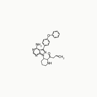 C=CCC(=O)C1NCCCC1n1nc(-c2ccc(Oc3ccccc3)cc2)c2c(N)ncnc21